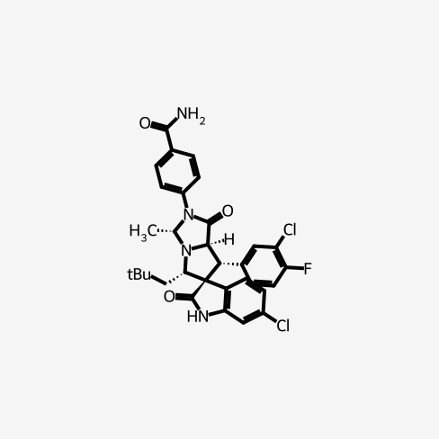 C[C@@H]1N(c2ccc(C(N)=O)cc2)C(=O)[C@H]2[C@H](c3ccc(F)c(Cl)c3)[C@@]3(C(=O)Nc4cc(Cl)ccc43)[C@H](CC(C)(C)C)N12